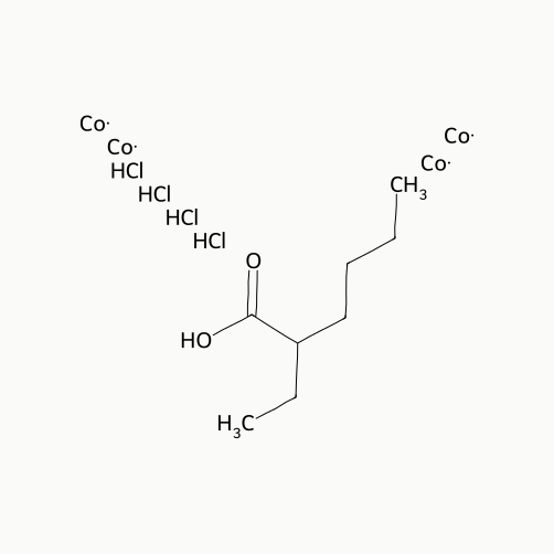 CCCCC(CC)C(=O)O.Cl.Cl.Cl.Cl.[Co].[Co].[Co].[Co]